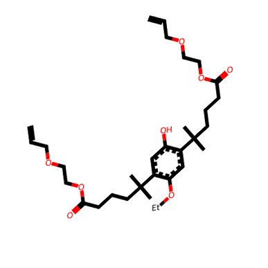 C=CCOCCOC(=O)CCCC(C)(C)c1cc(OCC)c(C(C)(C)CCCC(=O)OCCOCC=C)cc1O